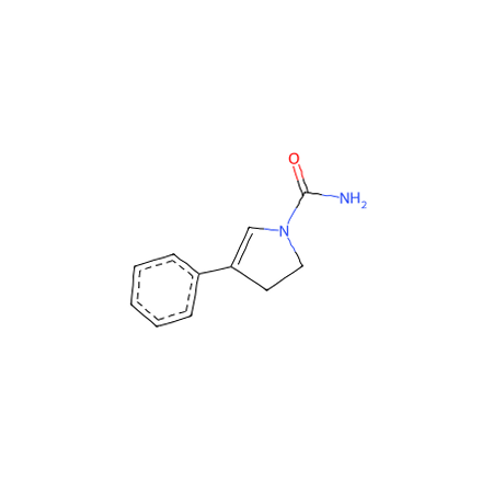 NC(=O)N1C=C(c2ccccc2)CC1